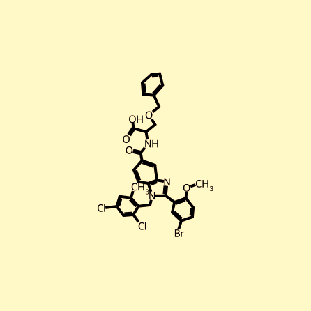 COc1ccc(Br)cc1-c1nc2cc(C(=O)NC(COCc3ccccc3)C(=O)O)ccc2n1Cc1c(C)cc(Cl)cc1Cl